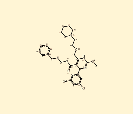 CSC1=NC(c2cc(Cl)cc(Cl)c2)C(C(=O)OCCCc2ccccc2)=C(COCCN2CCCCC2)N1